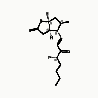 CCCC[C@H](F)C(=O)C=C[C@@H]1[C@H]2CC(=O)O[C@H]2C[C@H]1C